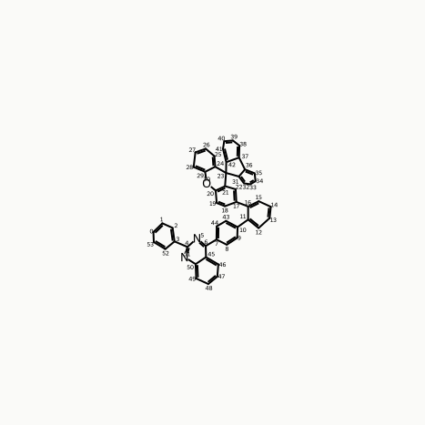 c1ccc(-c2nc(-c3ccc(-c4ccccc4-c4ccc5c(c4)C4(c6ccccc6O5)c5ccccc5-c5ccccc54)cc3)c3ccccc3n2)cc1